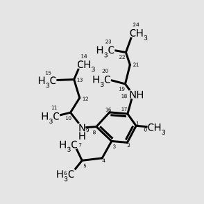 Cc1cc(CC(C)C)c(NC(C)CC(C)C)cc1NC(C)CC(C)C